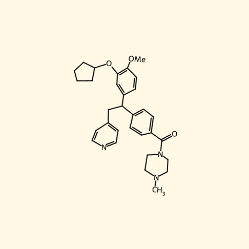 COc1ccc(C(Cc2ccncc2)c2ccc(C(=O)N3CCN(C)CC3)cc2)cc1OC1CCCC1